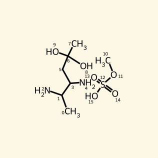 CC(N)C(N)CC(C)(O)O.COS(=O)(=O)O